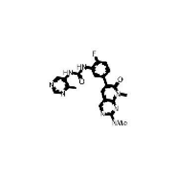 CNc1ncc2cc(-c3ccc(F)c(NC(=O)Nc4cncnc4C)c3)c(=O)n(C)c2n1